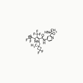 CC1(Cn2nc(C34CC(C3)C4(F)F)c(C(F)(F)F)c2C(=O)Nc2ccnc(S(C)(=N)=O)c2)CC(F)(F)C1